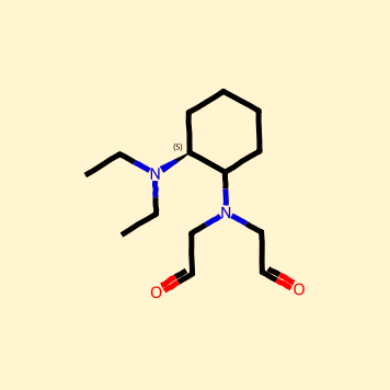 CCN(CC)[C@H]1CCCCC1N(CC=O)CC=O